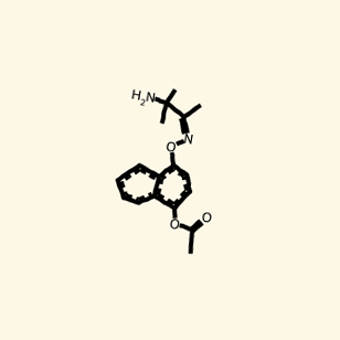 CC(=O)Oc1ccc(ON=C(C)C(C)(C)N)c2ccccc12